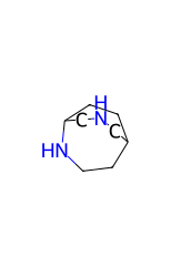 C1CC2CCC(CNC2)N1